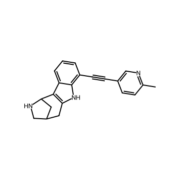 Cc1ccc(C#Cc2cccc3c4c([nH]c23)CC2CNC4C2)cn1